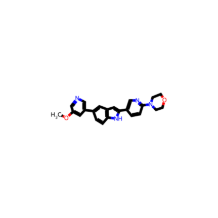 COc1cncc(-c2ccc3[nH]c(-c4ccc(N5CCOCC5)nc4)cc3c2)c1